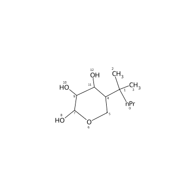 CCCC(C)(C)C1COC(O)C(O)C1O